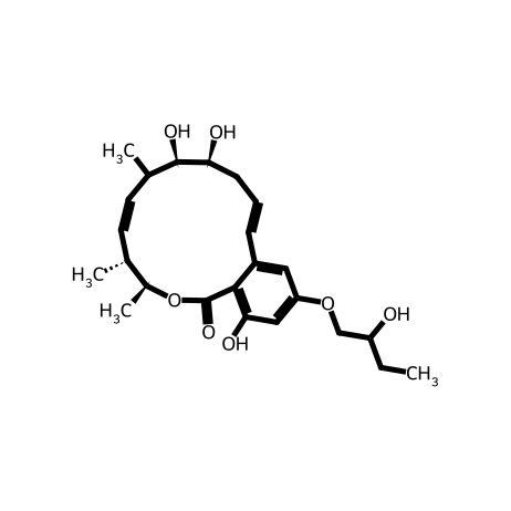 CCC(O)COc1cc(O)c2c(c1)/C=C/C[C@H](O)[C@H](O)C(C)/C=C\[C@@H](C)[C@H](C)OC2=O